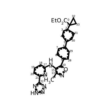 CCOC(=O)C1(c2ccc(-c3ccc(-c4onc(C)c4Nc4cccc(-c5nn[nH]n5)n4)cc3)cc2)CC1